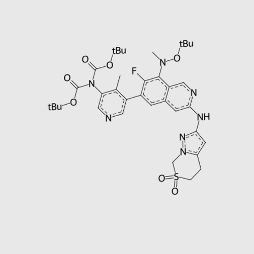 Cc1c(-c2cc3cc(Nc4cc5n(n4)CS(=O)(=O)CC5)ncc3c(N(C)OC(C)(C)C)c2F)cncc1N(C(=O)OC(C)(C)C)C(=O)OC(C)(C)C